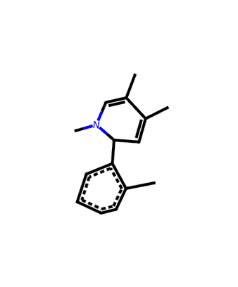 CC1=CC(c2ccccc2C)N(C)C=C1C